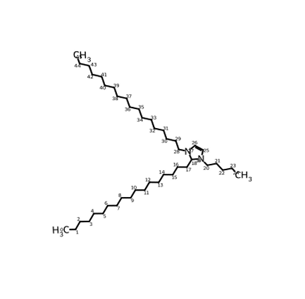 CCCCCCCCCCCCCCCCCCC1N(CCCCC)C=CN1CCCCCCCCCCCCCCCCCC